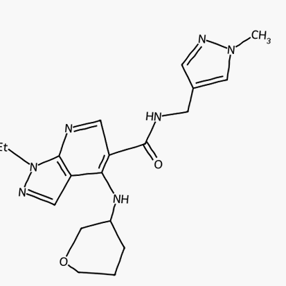 CCn1ncc2c(NC3CCCOC3)c(C(=O)NCc3cnn(C)c3)cnc21